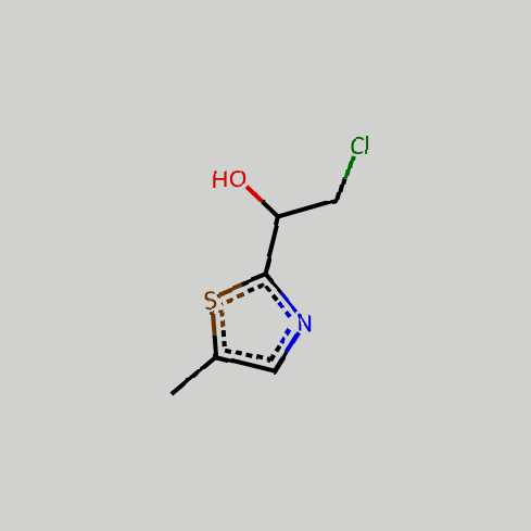 Cc1cnc(C(O)CCl)s1